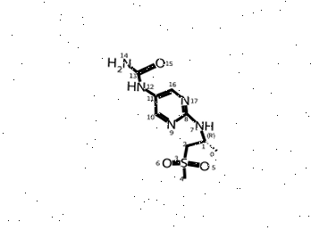 C[C@H](CS(C)(=O)=O)Nc1ncc(NC(N)=O)cn1